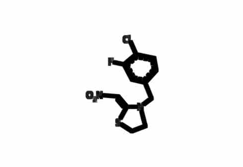 O=[N+]([O-])C=C1SCCN1Cc1ccc(Cl)c(F)c1